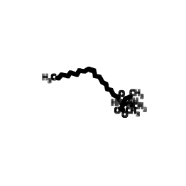 CCCCCCCC/C=C\CCCCCCCC(=O)NC(CCC)(C(=O)[O-])[N+](C)(C)C